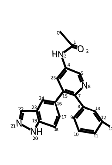 CC(=O)Nc1cnc(-c2cccc(C)c2)c(-c2ccc3[nH]ncc3c2)c1